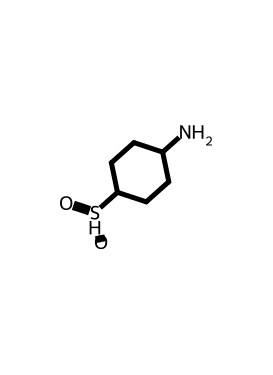 NC1CCC([SH](=O)=O)CC1